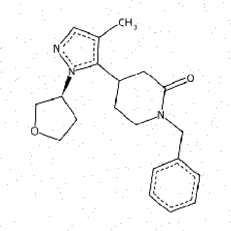 Cc1cnn([C@H]2CCOC2)c1C1CCN(Cc2ccccc2)C(=O)C1